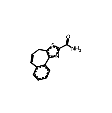 NC(=O)c1nc2c(s1)CC=Cc1ccccc1-2